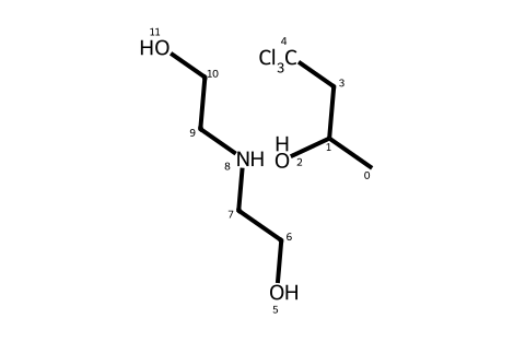 CC(O)CC(Cl)(Cl)Cl.OCCNCCO